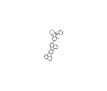 Cc1cc(-c2ccc3c4cc5c(cc4c4cccc2c43)c2cccc3cccc5c32)cc2c1N(c1ccccc1)C1(C)CCCCC21C